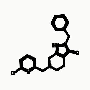 O=c1c2c([nH]n1Cc1ccccc1)CN(Cc1cccc(Cl)n1)CC2